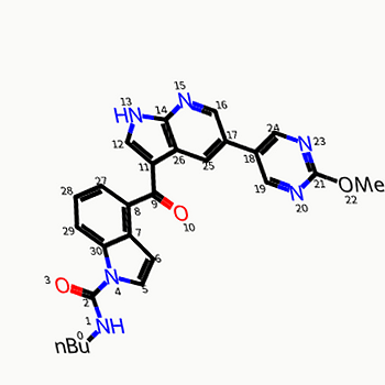 CCCCNC(=O)n1ccc2c(C(=O)c3c[nH]c4ncc(-c5cnc(OC)nc5)cc34)cccc21